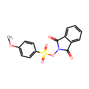 COc1ccc(S(=O)(=O)ON2C(=O)c3ccccc3C2=O)cc1